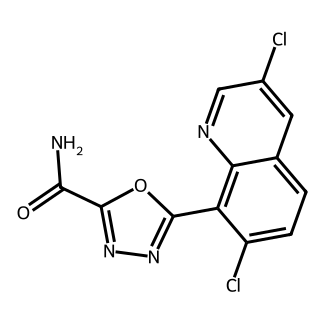 NC(=O)c1nnc(-c2c(Cl)ccc3cc(Cl)cnc23)o1